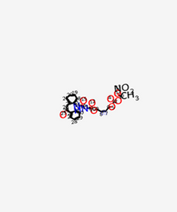 CC(OC(=O)OC/C=C\COC(=O)NC(=O)N1c2ccccc2CC(=O)c2ccccc21)O[N+](=O)[O-]